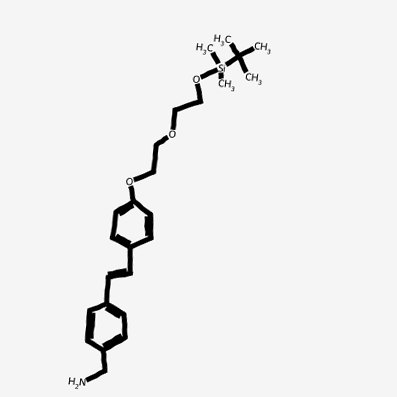 CC(C)(C)[Si](C)(C)OCCOCCOc1ccc(C=Cc2ccc(CN)cc2)cc1